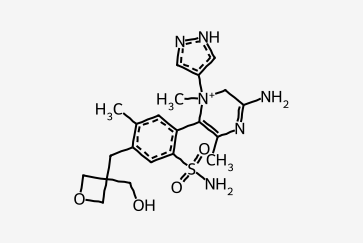 CC1=C(c2cc(C)c(CC3(CO)COC3)cc2S(N)(=O)=O)[N+](C)(c2cn[nH]c2)CC(N)=N1